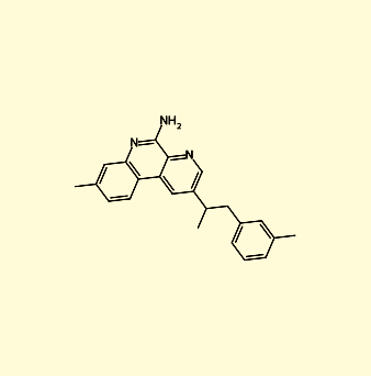 Cc1cccc(CC(C)c2cnc3c(N)nc4cc(C)ccc4c3c2)c1